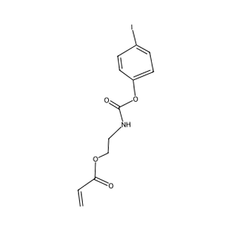 C=CC(=O)OCCNC(=O)Oc1ccc(I)cc1